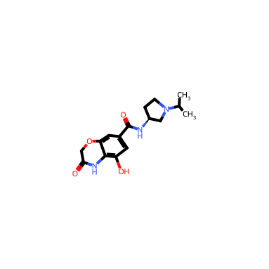 CC(C)N1CC[C@H](NC(=O)c2cc(O)c3c(c2)OCC(=O)N3)C1